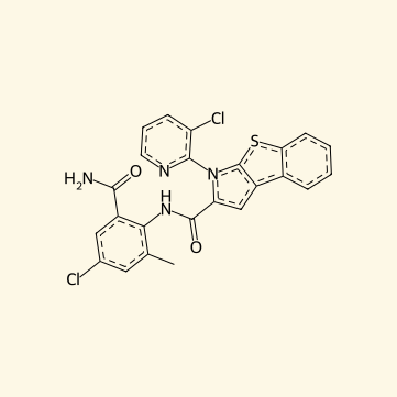 Cc1cc(Cl)cc(C(N)=O)c1NC(=O)c1cc2c3ccccc3sc2n1-c1ncccc1Cl